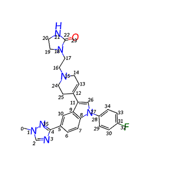 Cn1cnc(-c2ccc3c(c2)c(C2=CCN(CCN4CCNC4=O)CC2)cn3-c2ccc(F)cc2)n1